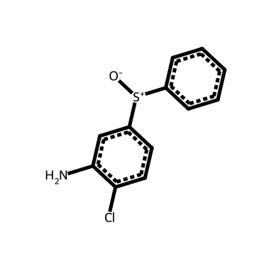 Nc1cc([S+]([O-])c2ccccc2)ccc1Cl